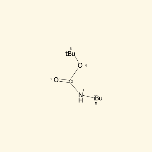 [CH2]CC(C)NC(=O)OC(C)(C)C